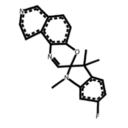 CN1c2cc(F)ccc2C(C)(C)C12C=Nc1c(ccc3cnccc13)O2